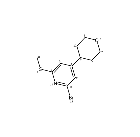 CSc1cc(C2CCOCC2)cc(Br)n1